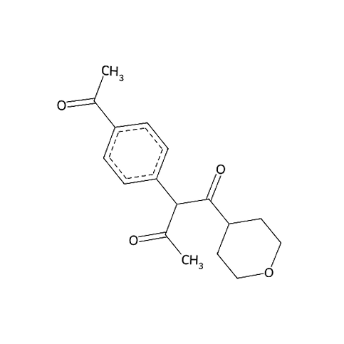 CC(=O)c1ccc(C(C(C)=O)C(=O)C2CCOCC2)cc1